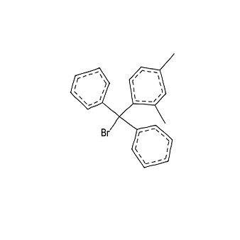 Cc1ccc(C(Br)(c2ccccc2)c2ccccc2)c(C)c1